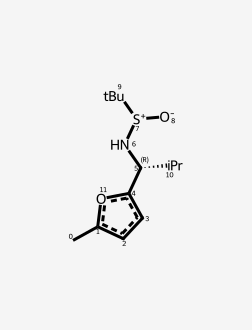 Cc1ccc([C@H](N[S+]([O-])C(C)(C)C)C(C)C)o1